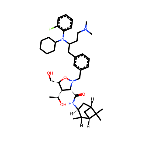 C[C@@H]1[C@@H](NC(=O)[C@@H]2[C@H]([C@H](C)O)[C@H](CO)ON2Cc2cccc(CC(CCN(C)C)N(c3ccccc3F)C3CCCCC3)c2)C[C@H]2C[C@@H]1C2(C)C